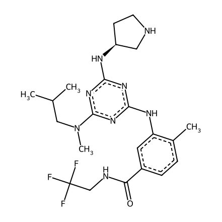 Cc1ccc(C(=O)NCC(F)(F)F)cc1Nc1nc(N[C@H]2CCNC2)nc(N(C)CC(C)C)n1